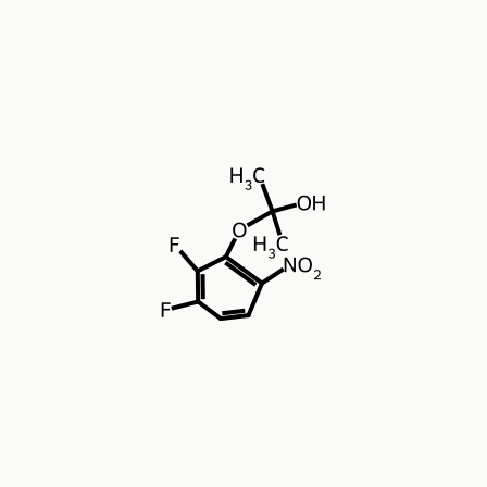 CC(C)(O)Oc1c([N+](=O)[O-])ccc(F)c1F